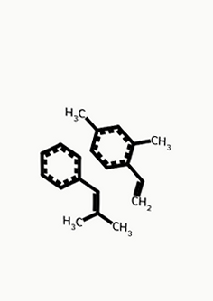 C=Cc1ccc(C)cc1C.CC(C)=Cc1ccccc1